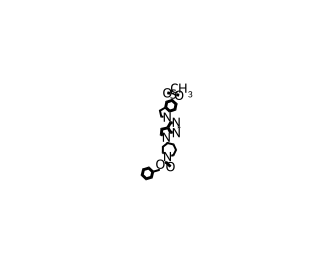 CS(=O)(=O)c1ccc2c(c1)CCN2c1ncnc2c1ccn2C1CCCN(C(=O)OCc2ccccc2)CC1